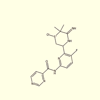 CC1(C)C(=N)NC(c2nc(NC(=O)c3ccncn3)ccc2F)C[S+]1[O-]